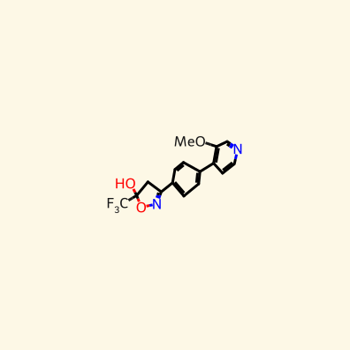 COc1cnccc1-c1ccc(C2=NOC(O)(C(F)(F)F)C2)cc1